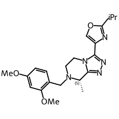 COc1ccc(CN2CCn3c(-c4coc(C(C)C)n4)nnc3[C@@H]2C)c(OC)c1